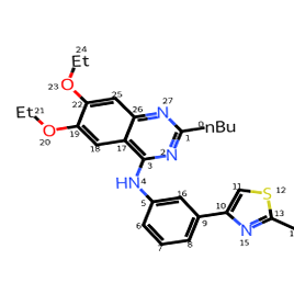 CCCCc1nc(Nc2cccc(-c3csc(C)n3)c2)c2cc(OCC)c(OCC)cc2n1